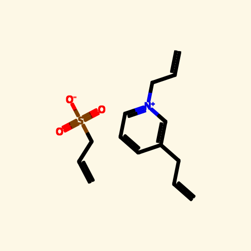 C=CCS(=O)(=O)[O-].C=CCc1ccc[n+](CC=C)c1